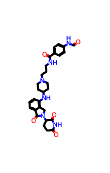 O=CNc1ccc(C(=O)NCCCN2CCC(Nc3cccc4c3CN(C3CCC(=O)NC3=O)C4=O)CC2)cc1